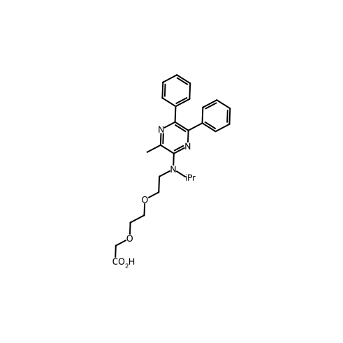 Cc1nc(-c2ccccc2)c(-c2ccccc2)nc1N(CCOCCOCC(=O)O)C(C)C